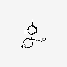 CCOC(=O)C1(C2=CC=C(F)CN2)CCNCC1